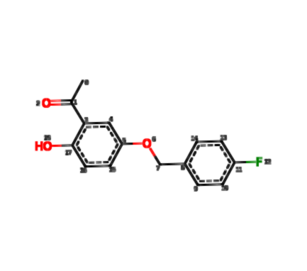 CC(=O)c1cc(OCc2ccc(F)cc2)ccc1O